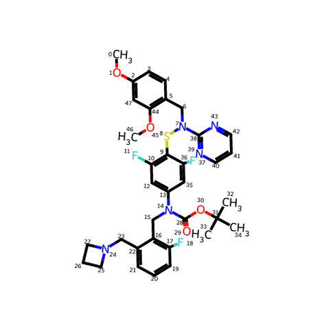 COc1ccc(CN(Sc2c(F)cc(N(Cc3c(F)cccc3CN3CCC3)C(=O)OC(C)(C)C)cc2F)c2ncccn2)c(OC)c1